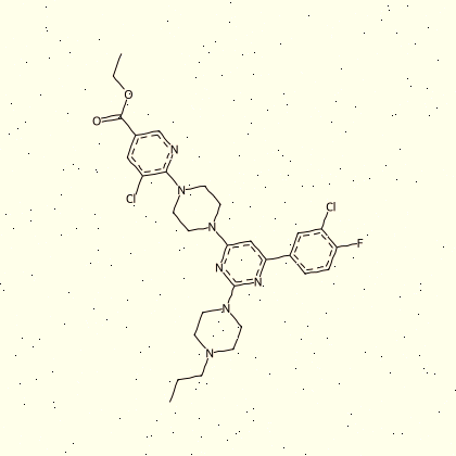 CCCN1CCN(c2nc(-c3ccc(F)c(Cl)c3)cc(N3CCN(c4ncc(C(=O)OCC)cc4Cl)CC3)n2)CC1